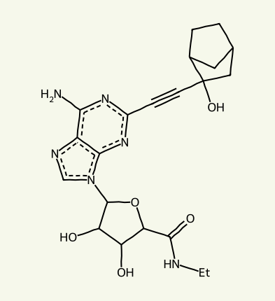 CCNC(=O)C1OC(n2cnc3c(N)nc(C#CC4(O)CC5CCC4C5)nc32)C(O)C1O